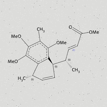 COC(=O)/C=C/[C@H](C)[C@H]1C=C[C@H](C)c2c(OC)c(OC)c(C)c(OC)c21